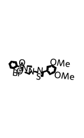 COc1cc(OC)cc(-c2csc(N3CCN(S(=O)(=O)c4ccccc4Br)CC3)n2)c1